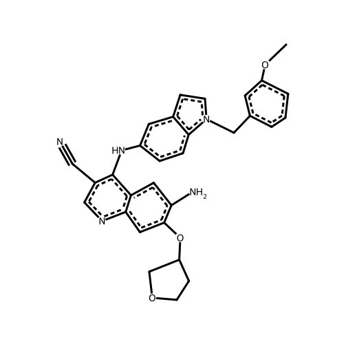 COc1cccc(Cn2ccc3cc(Nc4c(C#N)cnc5cc(OC6CCOC6)c(N)cc45)ccc32)c1